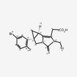 [2H]Cn1c(CC(=O)O)c2n(c1=S)C[C@@]1(c3cc(Br)ccc3F)C[C@@H]21